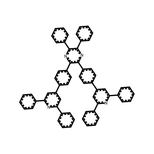 c1ccc(-c2cc(-c3ccc(-c4nc(-c5ccccc5)c(-c5ccccc5)nc4-c4ccc(-c5cc(-c6ccccc6)nc(-c6ccccc6)c5)cc4)cc3)cc(-c3ccccc3)n2)cc1